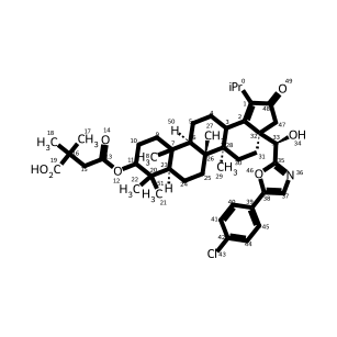 CC(C)C1=C2C3CC[C@@H]4C5(C)CCC(OC(=O)CC(C)(C)C(=O)O)C(C)(C)[C@@H]5CC[C@@]4(C)[C@]3(C)CC[C@@]2([C@@H](O)c2ncc(-c3ccc(Cl)cc3)o2)CC1=O